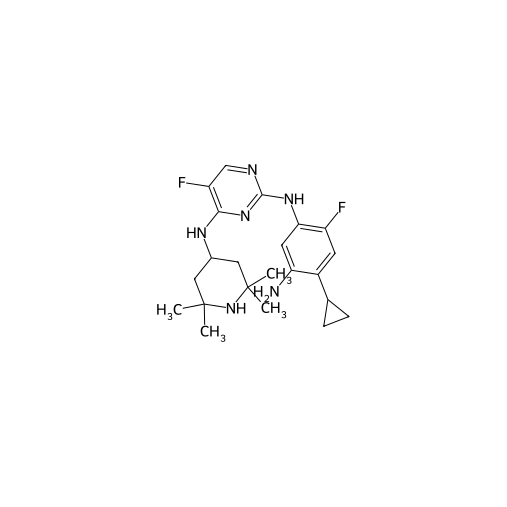 CC1(C)CC(Nc2nc(Nc3cc(N)c(C4CC4)cc3F)ncc2F)CC(C)(C)N1